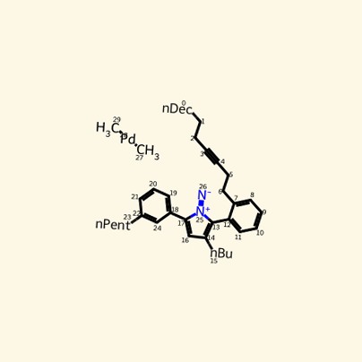 CCCCCCCCCCCCC#CCCc1ccccc1C1=C(CCCC)C=C(c2cccc(CCCCC)c2)[N+]1=[N-].[CH3][Pd][CH3]